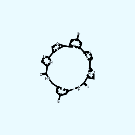 O=C1NCc2cc(Br)cc(c2)CNC(=O)c2coc(n2)-c2coc(n2)-c2cc(Br)cc(n2)-c2nc(co2)-c2nc1co2